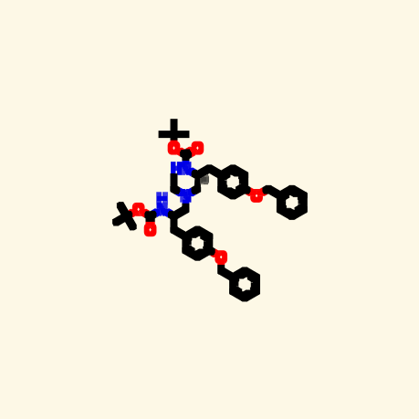 CCN(CC(Cc1ccc(OCc2ccccc2)cc1)NC(=O)OC(C)(C)C)C[C@H](Cc1ccc(OCc2ccccc2)cc1)NC(=O)OC(C)(C)C